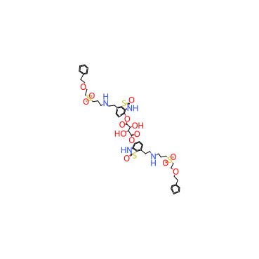 O=C(Oc1ccc(CCNCCCS(=O)(=O)CCOCCc2ccccc2)c2sc(=O)[nH]c12)C(O)C(O)C(=O)Oc1ccc(CCNCCCS(=O)(=O)CCOCCc2ccccc2)c2sc(=O)[nH]c12